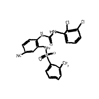 N#Cc1ccc(NC(=O)Nc2cccc(Cl)c2Cl)c(NS(=O)(=O)c2ccccc2C(F)(F)F)c1